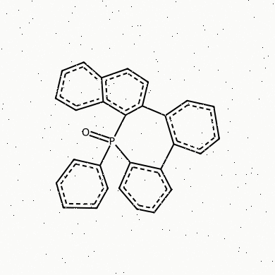 O=P1(c2ccccc2)c2ccccc2-c2ccccc2-c2ccc3ccccc3c21